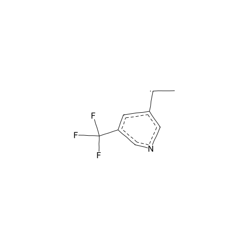 C[CH]c1cncc(C(F)(F)F)c1